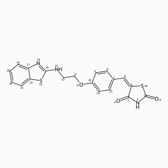 O=C1NC(=O)/C(=C\c2ccc(OCCNc3nc4ccccc4s3)cc2)S1